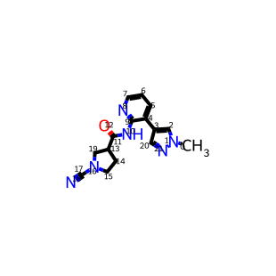 Cn1cc(-c2cccnc2NC(=O)C2CCN(C#N)C2)cn1